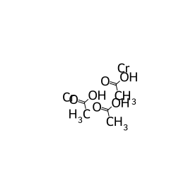 CC(=O)O.CC(=O)O.CC(=O)O.[Cr].[Cr]